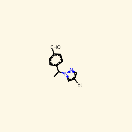 CCc1cnn(C(C)c2ccc(C=O)cc2)c1